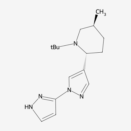 C[C@H]1CC[C@H](c2cnn(-c3cc[nH]n3)c2)N(C(C)(C)C)C1